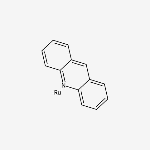 [Ru].c1ccc2nc3ccccc3cc2c1